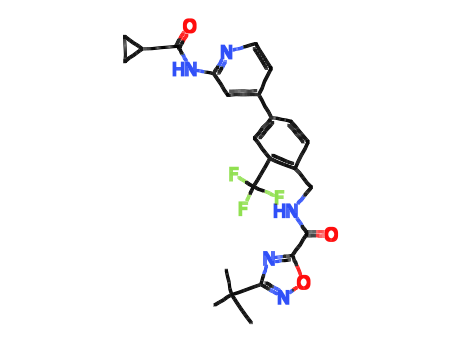 CC(C)(C)c1noc(C(=O)NCc2ccc(-c3ccnc(NC(=O)C4CC4)c3)cc2C(F)(F)F)n1